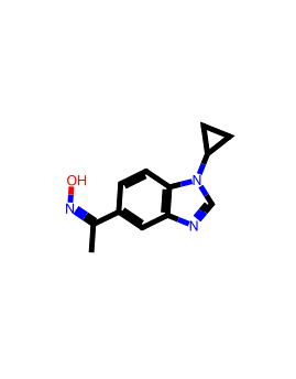 C/C(=N/O)c1ccc2c(c1)ncn2C1CC1